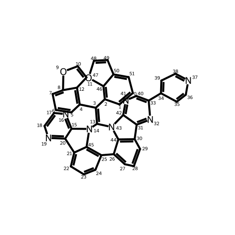 c1cc(/C(c2cccc3occc23)=c2/n3c4nccnc4c4cccc(c5cccc6c7nc(-c8ccncc8)cnc7n2c56)c43)c2occc2c1